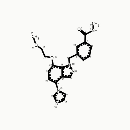 CNC(=O)c1cccc(Cn2ncc3c(-n4ccnc4)ccc(OCCOC)c32)c1